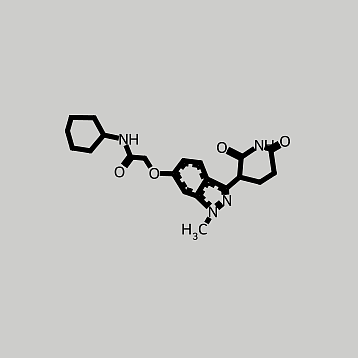 Cn1nc(C2CCC(=O)NC2=O)c2ccc(OCC(=O)NC3CCCCC3)cc21